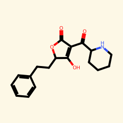 O=C1OC(CCc2ccccc2)C(O)=C1C(=O)C1CCCCN1